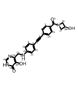 O=C(c1ccc(C#Cc2ccc(NCc3nc[nH]c(=O)c3O)cc2)cc1)N1CC(O)C1